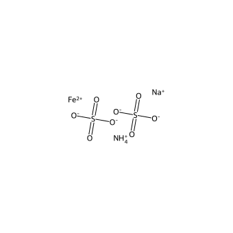 O=S(=O)([O-])[O-].O=S(=O)([O-])[O-].[Fe+2].[NH4+].[Na+]